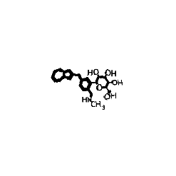 CNCc1ccc(Cc2cc3cccccc-3c2)cc1[C@@H]1O[C@H](CO)[C@@H](O)[C@H](O)[C@H]1O